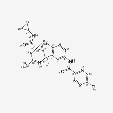 C[C@]1(c2cc(NC(=O)c3ccc(Cl)cn3)ccc2F)N=C(N)S[C@@]2(C(=O)NC3CC3)C=C21